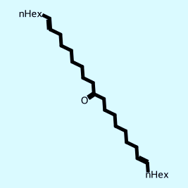 CCCCCCC=CCCCCCCCC(=O)CCCCCCCC=CCCCCCC